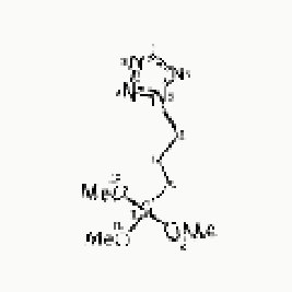 CO[Si](CCCn1ncnn1)(OC)OC